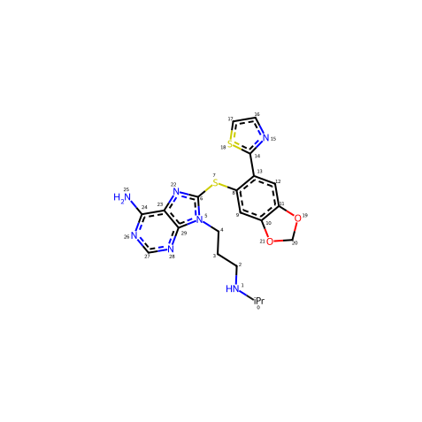 CC(C)NCCCn1c(Sc2cc3c(cc2-c2nccs2)OCO3)nc2c(N)ncnc21